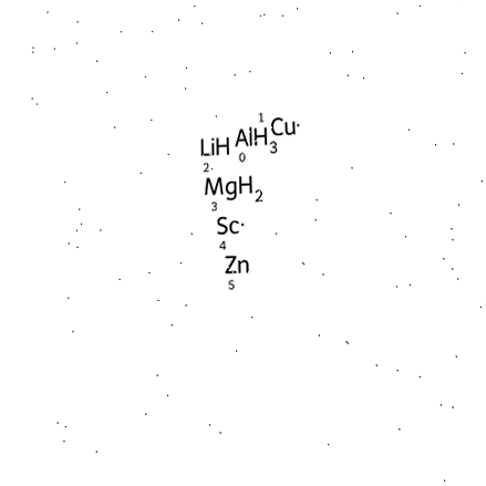 [AlH3].[Cu].[LiH].[MgH2].[Sc].[Zn]